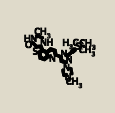 C[C@@H]1CNc2c(sc3ccc4nc(-c5cc(N6CCN(C)CC6)nc(C#C[Si](C)(C)C)n5)ccc4c23)C(=O)N1